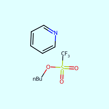 CCCCOS(=O)(=O)C(F)(F)F.c1ccncc1